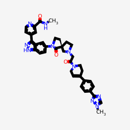 CNC(=O)c1cc(-c2n[nH]c3ccc(N4CC[C@]5(CCN(CC(=O)N6CC=C(c7ccc(-c8ncn(C)n8)cc7)CC6)C5)C4=O)cc23)ccn1